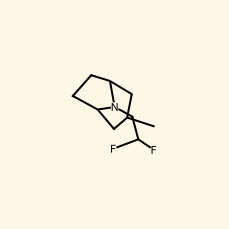 CC1CC2CCC(C1)N2CC(F)F